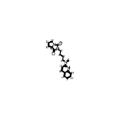 CN(CCCCN1C(=O)C2CCCN2C1=O)c1ccc2ccccc2n1